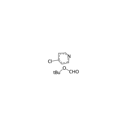 CC(C)(C)OC=O.Clc1ccncc1